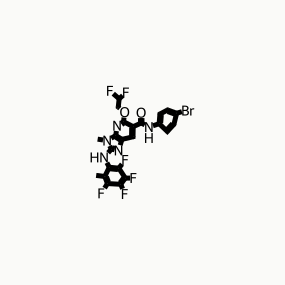 Cc1c(F)c(F)c(F)c(F)c1Nc1nc2cc(C(=O)Nc3ccc(Br)cc3)c(OCC(F)F)nc2n1C